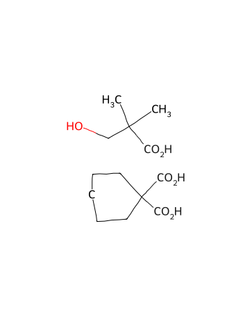 CC(C)(CO)C(=O)O.O=C(O)C1(C(=O)O)CCCCC1